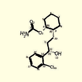 NC(=O)O[C@@H]1CCCC[C@@H]1CC[C@H](O)c1ccccc1Cl